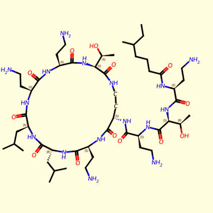 CCC(C)CCCC(=O)N[C@@H](CCN)C(=O)N[C@H](C(=O)N[C@@H](CCN)C(=O)N[C@H]1CCNC(=O)[C@H]([C@H](C)O)NC(=O)[C@H](CCN)NC(=O)[C@H](CCN)NC(=O)[C@H](CC(C)C)NC(=O)[C@@H](CC(C)C)NC(=O)[C@H](CCN)NC1=O)[C@@H](C)O